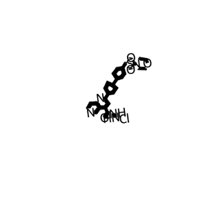 O=C(NNCl)c1cc(-c2ccc(-c3ccc(CS(=O)(=O)N4CCOCC4)cc3)cc2)nc2ccncc12